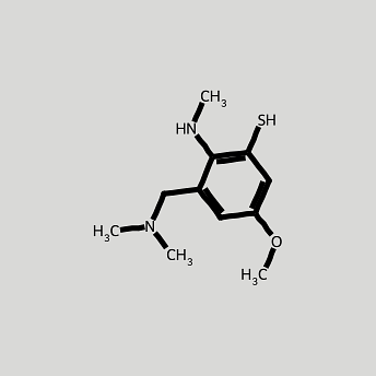 CNc1c(S)cc(OC)cc1CN(C)C